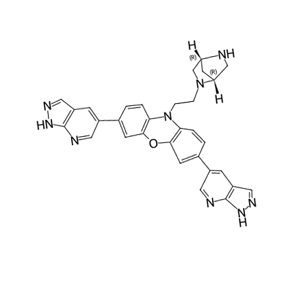 c1cc2c(cc1-c1cnc3[nH]ncc3c1)Oc1cc(-c3cnc4[nH]ncc4c3)ccc1N2CCN1C[C@H]2C[C@@H]1CN2